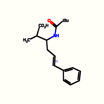 CC(C(=O)O)C(C/C=C/c1ccccc1)NC(=O)C(C)(C)C